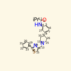 CC(C)C(=O)Nc1cccc(C2CCN(Cc3csc(-c4ccccc4)n3)CC2)c1